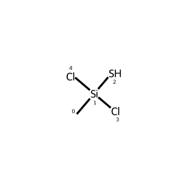 C[Si](S)(Cl)Cl